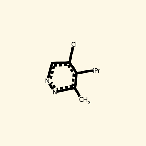 Cc1nncc(Cl)c1C(C)C